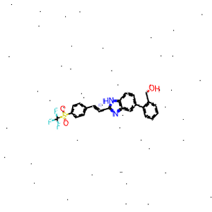 O=S(=O)(c1ccc(/C=C/c2nc3cc(-c4ccccc4CO)ccc3[nH]2)cc1)C(F)(F)F